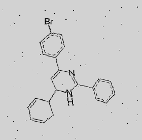 Brc1ccc(C2=CC(C3C=CC=CC3)NC(c3ccccc3)=N2)cc1